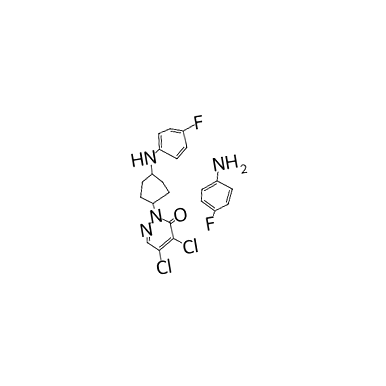 Nc1ccc(F)cc1.O=c1c(Cl)c(Cl)cnn1C1CCC(Nc2ccc(F)cc2)CC1